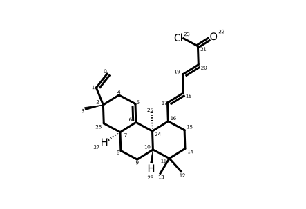 C=C[C@]1(C)CC=C2[C@@H](CC[C@H]3C(C)(C)CCC(/C=C/C=C/C(=O)Cl)[C@]23C)C1